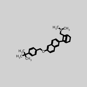 CN(C)CC1=C(c2ccc3cc(OCc4ccc(C(C)(C)C)cc4)ccc3c2)C2CCC1CC2